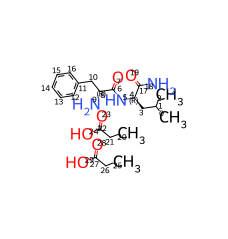 CC(C)C[C@@H](NC(=O)[C@H](N)Cc1ccccc1)C(N)=O.CCC(=O)O.CCC(=O)O